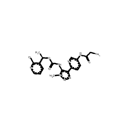 CCC(=O)Nc1ccc(-c2nnn(C)c2NC(=O)O[C@H](C)c2cccnc2Cl)nc1